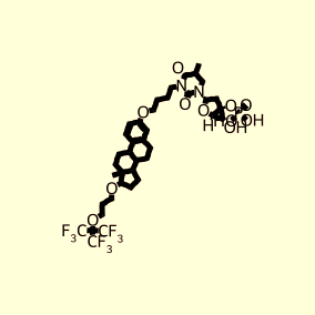 CC1CN([C@H]2C[C@]3(OP(=O)(O)O)C(O)[C@H]3O2)C(=O)N(CCCCOc2ccc3c(c2)CCC2C3CCC3(C)C(OCCCOC(C(F)(F)F)(C(F)(F)F)C(F)(F)F)CCC23)C1=O